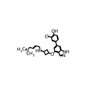 CN(C)C/C=C/CNC1CC(Oc2cc(-c3ccc(O)c(Cl)c3)cc3[nH]ncc23)C1